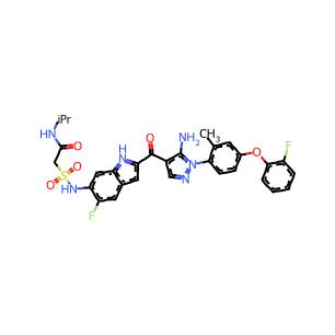 Cc1cc(Oc2ccccc2F)ccc1-n1ncc(C(=O)c2cc3cc(F)c(NS(=O)(=O)CC(=O)NC(C)C)cc3[nH]2)c1N